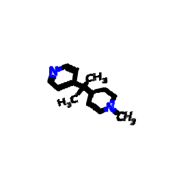 CN1CCC(C(C)(C)c2ccncc2)CC1